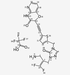 NCC(Cn1ncn(Cc2ccc(C#CC3Oc4cccnc4NC3=O)s2)c1=O)=C(F)F.O=C(O)C(F)(F)F